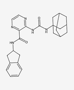 O=C(Nc1nccnc1C(=O)NC1Cc2ccccc2C1)NC12CC3CC(CC(C3)C1)C2